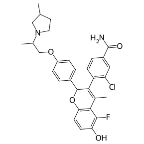 CC1=C(c2ccc(C(N)=O)cc2Cl)C(c2ccc(OCC(C)N3CCC(C)C3)cc2)Oc2ccc(O)c(F)c21